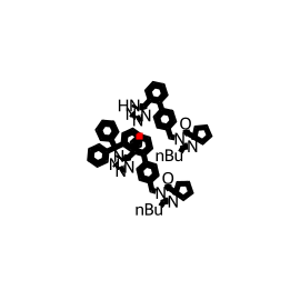 CCCCC1=NC2(CCCC2)C(=O)N1Cc1ccc(-c2ccccc2-c2nnn[nH]2)cc1.CCCCC1=NC2(CCCC2)C(=O)N1Cc1ccc(-c2ccccc2-c2nnnn2C(c2ccccc2)(c2ccccc2)c2ccccc2)cc1